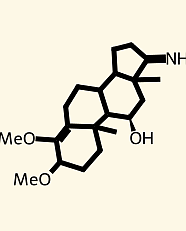 COC1=C2CCC3C4CCC(=N)C4(C)C[C@@H](O)C3C2(C)CCC1OC